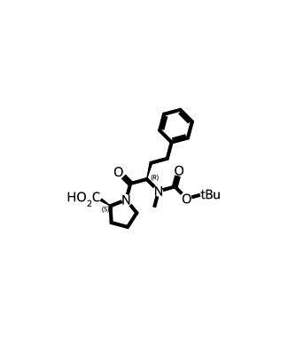 CN(C(=O)OC(C)(C)C)[C@H](CCc1ccccc1)C(=O)N1CCC[C@H]1C(=O)O